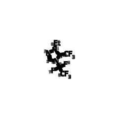 CCN1N=CN(C(F)(F)C(F)(F)F)C1C(F)(F)F